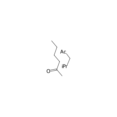 CC(=O)CC(C)C.CCCCC(C)=O